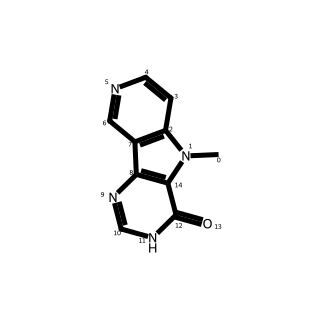 Cn1c2ccncc2c2nc[nH]c(=O)c21